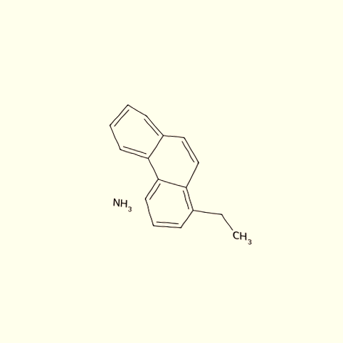 CCc1cccc2c1ccc1ccccc12.N